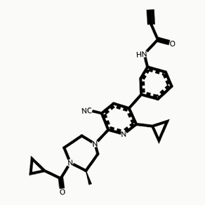 C#CC(=O)Nc1cccc(-c2cc(C#N)c(N3CCN(C(=O)C4CC4)[C@H](C)C3)nc2C2CC2)c1